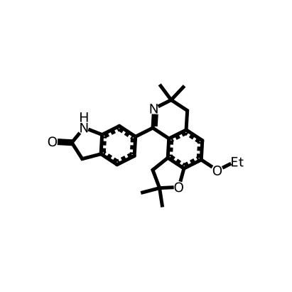 CCOc1cc2c(c3c1OC(C)(C)C3)C(c1ccc3c(c1)NC(=O)C3)=NC(C)(C)C2